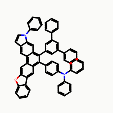 c1ccc(-c2cc(-c3ccccc3)cc(-c3c(-c4ccc(N(c5ccccc5)c5ccccc5)cc4)c4cc5c(cc4c4cc6ccn(-c7ccccc7)c6cc34)oc3ccccc35)c2)cc1